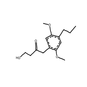 CCCc1cc(OC)c(CC(=O)CCO)cc1OC